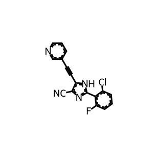 N#Cc1nc(-c2c(F)cccc2Cl)[nH]c1C#Cc1cccnc1